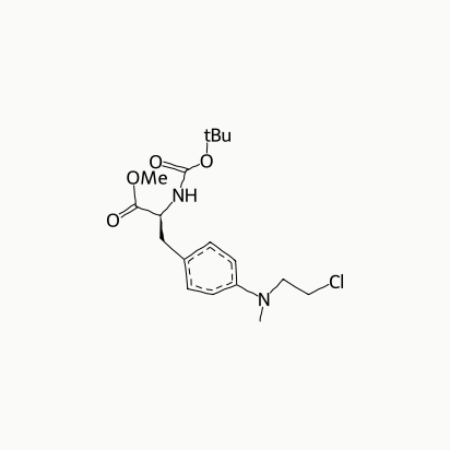 COC(=O)[C@H](Cc1ccc(N(C)CCCl)cc1)NC(=O)OC(C)(C)C